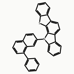 c1ccc(-c2cccc3ccc(-n4c5ccccc5c5ccc6c7ccccc7sc6c54)cc23)cc1